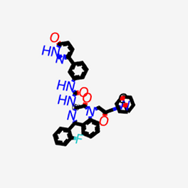 O=C(Nc1cccc(-c2ccc(=O)[nH]n2)c1)N[C@@H]1N=C(c2ccccc2F)c2ccccc2N(CC(=O)N2CC3CCC(CC3)C2)C1=O